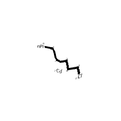 CCCCCCCCCl.[Cd]